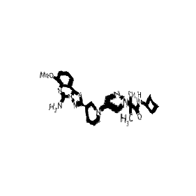 COc1cccc2c1nc(N)n1nc([C@@H]3CCCN(c4cnn(C(C)(C)C(=O)NC5CCC5)c4)C3)nc21